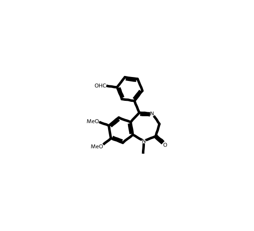 COc1cc2c(cc1OC)N(C)C(=O)CN=C2c1cccc(C=O)c1